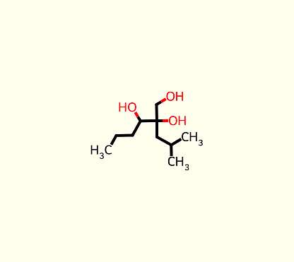 CCCC(O)C(O)(CO)CC(C)C